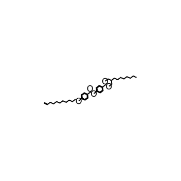 C=CCCCCCCCCCOc1ccc(C(=O)Oc2ccc(C3OCC(CCCCCCCC)CO3)cc2)cc1